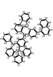 c1ccc(N2c3ccccc3[Si](c3ccccc3)(c3ccccc3)c3ccc(N(c4ccc(-c5cccc6ccccc56)cc4)c4cccc5c4oc4ccccc45)cc32)cc1